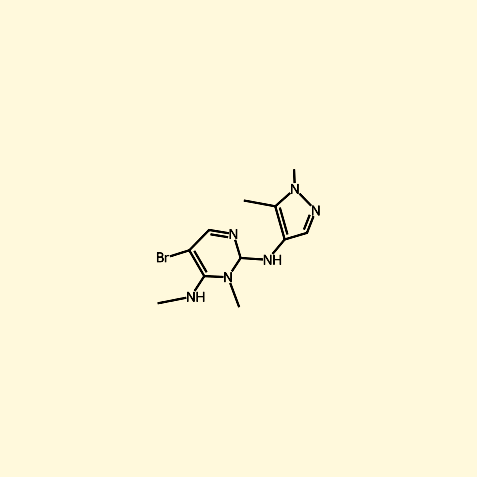 CNC1=C(Br)C=NC(Nc2cnn(C)c2C)N1C